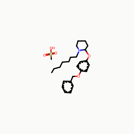 CCCCCCCN1CCCCC1Oc1ccc(OCc2ccccc2)cc1.CS(=O)(=O)O